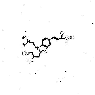 CC(Cc1nc2cc(C=CC(=O)NO)ccc2n1CCN(C(C)C)C(C)C)CC(C)(C)C